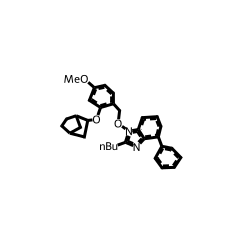 CCCCc1nc2c(-c3ccccc3)cccc2n1OCc1ccc(OC)cc1OC1CC2CCC1C2